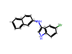 Brc1ccc2[nH]cc(Nc3ccc4ccccc4c3)c2c1